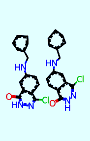 O=c1[nH]nc(Cl)c2cc(NCc3ccccc3)ccc12.O=c1[nH]nc(Cl)c2ccc(NCc3ccccc3)cc12